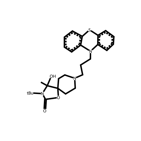 CC(C)(C)N1C(=O)OC2(CCN(CCCN3c4ccccc4Sc4ccccc43)CC2)C1(C)O